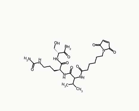 BC(=O)[C@@H](CO)NC(=O)[C@H](CCCNC(N)=O)NC(=O)C(NC(=O)CCCCCN1C(=O)C=CC1=O)C(C)C